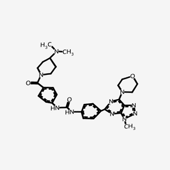 CN(C)C1CCN(C(=O)c2ccc(NC(=O)Nc3ccc(-c4nc(N5CCOCC5)c5nnn(C)c5n4)cc3)cc2)CC1